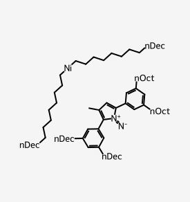 CCCCCCCCCCCCCCCCC[CH2][Ni][CH2]CCCCCCCCCCCCCCCCC.CCCCCCCCCCc1cc(CCCCCCCCCC)cc(C2=C(C)C=C(c3cc(CCCCCCCC)cc(CCCCCCCC)c3)[N+]2=[N-])c1